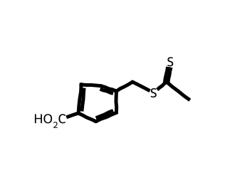 CC(=S)SCc1ccc(C(=O)O)cc1